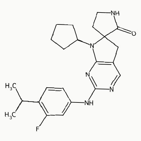 CC(C)c1ccc(Nc2ncc3c(n2)N(C2CCCC2)C2(CCNC2=O)C3)cc1F